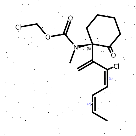 C=C(/C(Cl)=C\C=C/C)[C@]1(N(C)C(=O)OCCl)CCCCC1=O